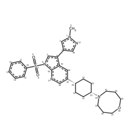 Cn1cc(-c2cn(S(=O)(=O)c3ccccc3)c3ncc([C@H]4CC[C@@H](N5CCCOCCC5)CC4)cc23)cn1